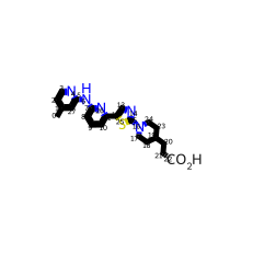 Cc1ccnc(Nc2cccc(-c3cnc(N4CCC(CCC(=O)O)CC4)s3)n2)c1